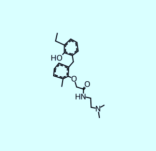 CCc1cccc(Cc2cccc(C)c2OCC(=O)NCCN(C)C)c1O